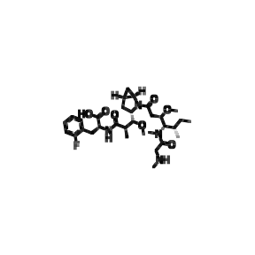 CC[C@H](C)[C@@H]([C@@H](CC(=O)N1[C@H](C(OC)[C@@H](C)C(=O)N[C@@H](Cc2ccccc2F)C(=O)O)C[C@@H]2C[C@@H]21)OC)N(C)C(=O)CNC